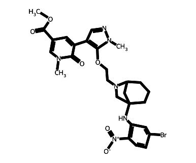 COC(=O)c1cc(-c2cnn(C)c2OCCN2CC3(Nc4cc(Br)ccc4[N+](=O)[O-])CCCC2C3)c(=O)n(C)c1